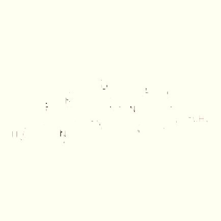 Cc1nc(SC(=O)N2CCC(C)CC2)ns1